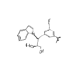 OC[C@@H](O)[C@H](c1cc(F)cc(F)c1)n1ccc2ccccc21